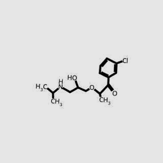 CC(C)NCC(O)COC(C)C(=O)c1cccc(Cl)c1